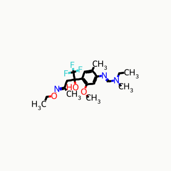 CCO/N=C(\C)CC(O)(c1cc(C)c(/N=C/N(C)CC)cc1OC)C(F)(F)F